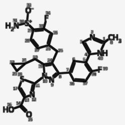 Cc1ncc(-c2cc(-c3nn(-c4nc(C(=O)O)cs4)c(CC4CC4)c3Cc3ccc([S+](N)[O-])c(F)c3)ccc2F)[nH]1